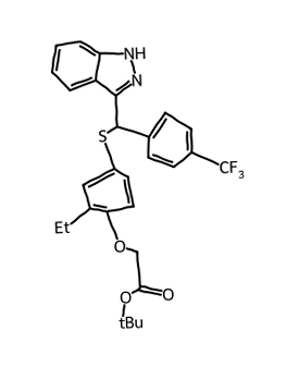 CCc1cc(SC(c2ccc(C(F)(F)F)cc2)c2n[nH]c3ccccc23)ccc1OCC(=O)OC(C)(C)C